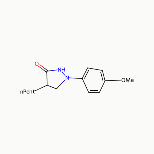 CCCCCC1CN(c2ccc(OC)cc2)NC1=O